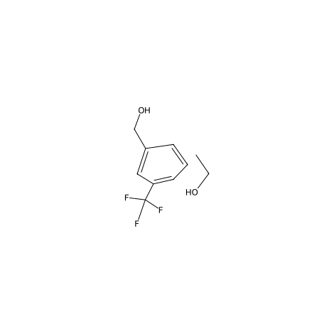 CCO.OCc1cccc(C(F)(F)F)c1